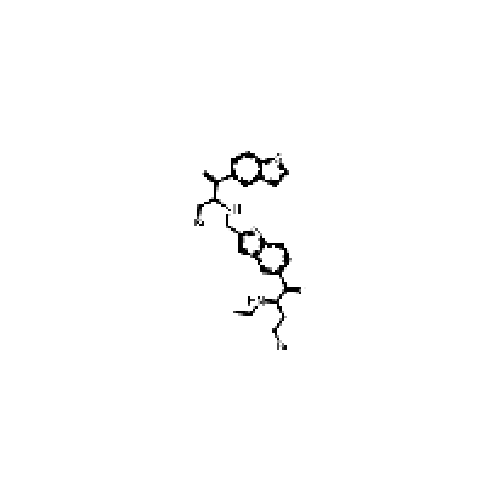 C=C(c1ccc2sccc2c1)C(CBr)NCc1cc2cc(C(=O)C(CCBr)NCC)ccc2s1